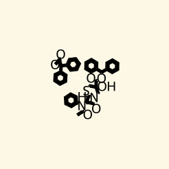 CC(=O)N(c1ccccc1)C1C(=O)N2CC(O)(C(=O)OC(c3ccccc3)c3ccccc3)CS[C@H]12.O=C1OC1(c1ccccc1)c1ccccc1